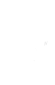 [O-][S@@+]1NCc2ccccc21